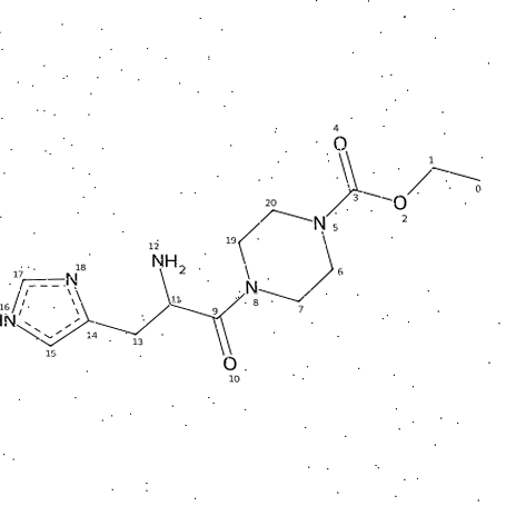 CCOC(=O)N1CCN(C(=O)C(N)Cc2c[nH]cn2)CC1